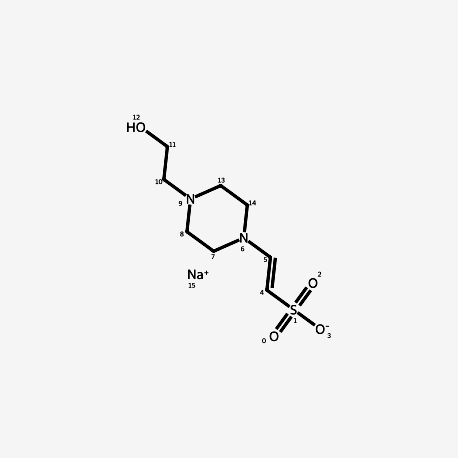 O=S(=O)([O-])C=CN1CCN(CCO)CC1.[Na+]